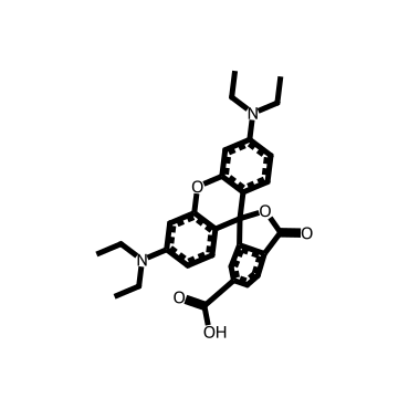 CCN(CC)c1ccc2c(c1)Oc1cc(N(CC)CC)ccc1C21OC(=O)c2ccc(C(=O)O)cc21